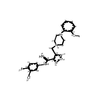 COc1ccccc1N1CCN(Cc2nonc2C(=N)Nc2ccc(F)c(Cl)c2)CC1